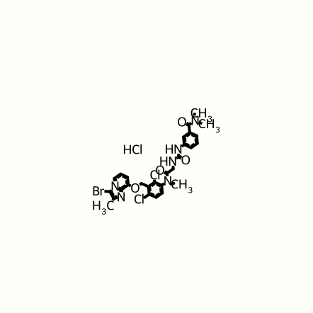 Cc1nc2c(OCc3c(Cl)ccc(N(C)C(=O)CNC(=O)Nc4cccc(C(=O)N(C)C)c4)c3Cl)cccn2c1Br.Cl